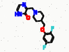 O=c1[nH]ccnc1CN1CCC(COc2cc(F)ccc2F)CC1